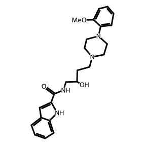 COc1ccccc1N1CCN(CCC(O)CNC(=O)c2cc3ccccc3[nH]2)CC1